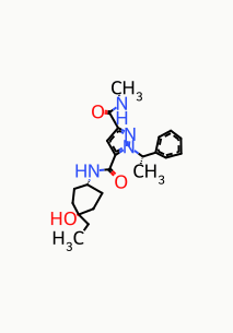 CC[C@]1(O)CC[C@H](NC(=O)c2cc(C(=O)NC)nn2[C@@H](C)c2ccccc2)CC1